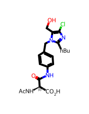 CCCCc1nc(Cl)c(CO)n1Cc1ccc(NC(=O)[C@H](NC(C)=O)C(=O)O)cc1